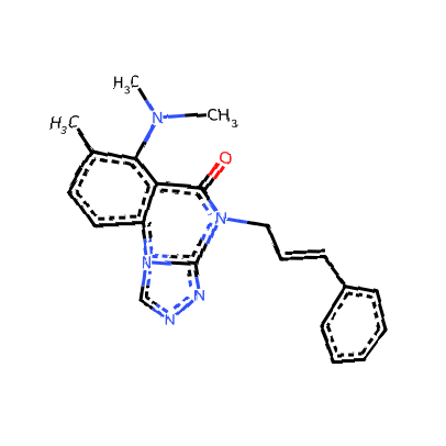 Cc1ccc2c(c1N(C)C)c(=O)n(C/C=C/c1ccccc1)c1nncn21